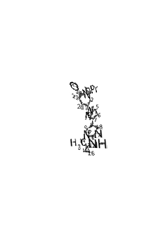 CCCn1cc(-n2ccc(-c3cnc(NC4(C)CC4)nc3)n2)ccc1=O